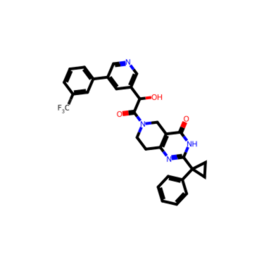 O=C(C(O)c1cncc(-c2cccc(C(F)(F)F)c2)c1)N1CCc2nc(C3(c4ccccc4)CC3)[nH]c(=O)c2C1